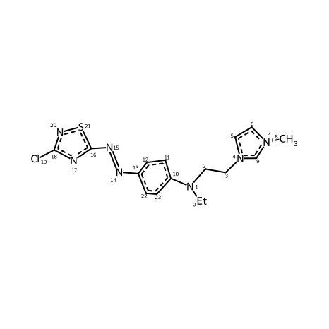 CCN(CCn1cc[n+](C)c1)c1ccc(N=Nc2nc(Cl)ns2)cc1